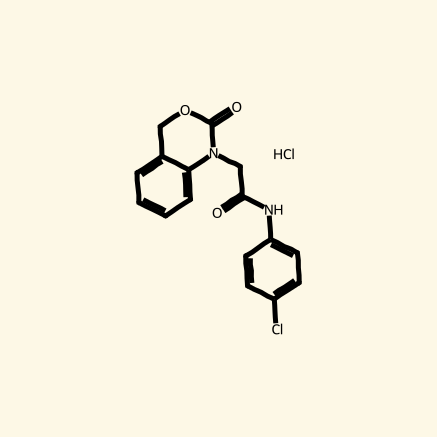 Cl.O=C(CN1C(=O)OCc2ccccc21)Nc1ccc(Cl)cc1